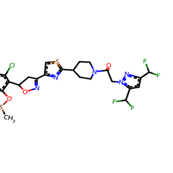 CS(=O)Oc1cccc(Cl)c1C1CC(c2csc(C3CCN(C(=O)Cn4nc(C(F)F)cc4C(F)F)CC3)n2)=NO1